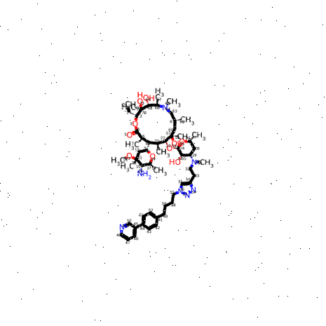 CC[C@H]1OC(=O)[C@H](C)C([C@H]2C[C@@](C)(OC)[C@@H](N)[C@H](C)O2)[C@H](C)[C@@H](O[C@@H]2O[C@H](C)C[C@H](N(C)CCc3cn(CCCCc4ccc(-c5cccnc5)cc4)nn3)[C@H]2O)[C@](C)(O)C[C@@H](C)CN(C)[C@H](C)[C@@H](O)[C@]1(C)O